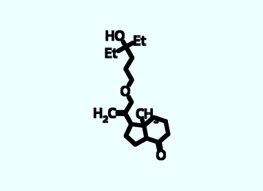 C=C(COCCCC(O)(CC)CC)C1CCC2C(=O)CCCC12C